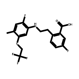 Cc1cc(F)c(NCCc2ccc(F)cc2C(=O)O)cc1SCC(F)(F)F